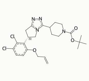 C=CCOc1ccc(Cl)c(Cl)c1[C@@H]1Cc2nnc(C3CCN(C(=O)OC(C)(C)C)CC3)n2C1